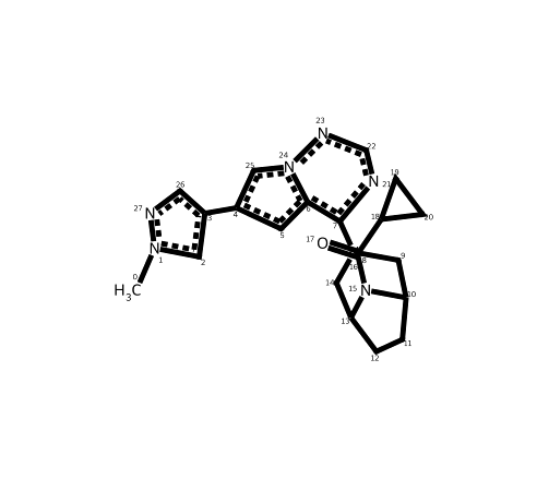 Cn1cc(-c2cc3c(N4CC5CCC(C4)N5C(=O)C4CC4)ncnn3c2)cn1